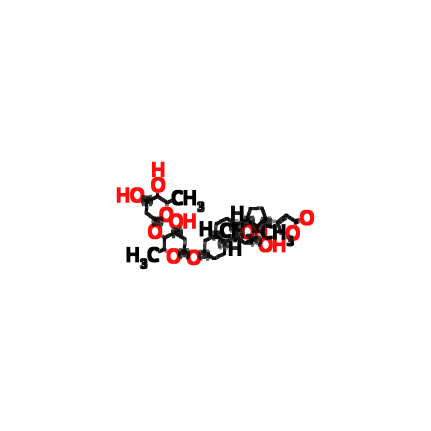 CC1O[C@@H](OC2C(C)O[C@@H](O[C@H]3CC[C@@]4(C)[C@H](CC[C@@H]5[C@@H]4C[C@@H](O)[C@]4(C)[C@@H](C6=CC(=O)OC6)CC[C@]54O)C3)C[C@H]2O)C[C@@H](O)C1O